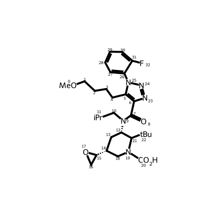 COCCCCc1c(C(=O)N(CC(C)C)[C@H]2C[C@@H](C3CO3)CN(C(=O)O)C2C(C)(C)C)nnn1-c1ccccc1F